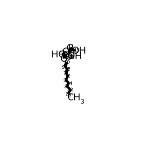 CCCCCCCC=CC=COP(=O)(O)OP(=O)(O)O